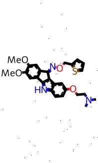 COc1cc2c(cc1OC)-c1[nH]c3ccc(OCCN(C)C)cc3c1C2=NOCc1cccs1